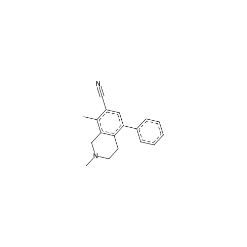 Cc1c(C#N)cc(-c2ccccc2)c2c1CN(C)CC2